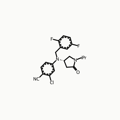 CC(C)N1C[C@@H](N(Cc2cc(F)ccc2F)c2ccc(C#N)c(Cl)c2)CC1=O